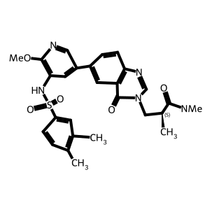 CNC(=O)[C@@H](C)Cn1cnc2ccc(-c3cnc(OC)c(NS(=O)(=O)c4ccc(C)c(C)c4)c3)cc2c1=O